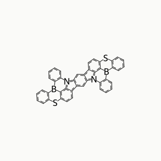 c1ccc2c(c1)Sc1ccc3c4cc5c(cc4n4c3c1B2c1ccccc1-4)c1ccc2c3c1n5-c1ccccc1B3c1ccccc1S2